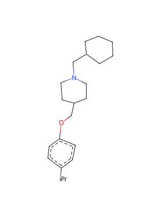 CC(C)c1ccc(OCC2CCN(CC3CCCCC3)CC2)cc1